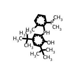 Cc1cccc(P(C)C)c1Pc1cc(C(C)(C)C)cc(C(C)(C)C)c1O